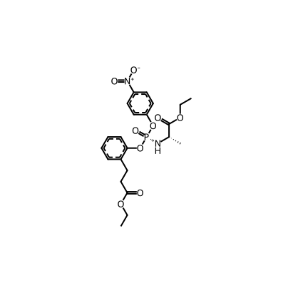 CCOC(=O)CCc1ccccc1O[P@](=O)(N[C@@H](C)C(=O)OCC)Oc1ccc([N+](=O)[O-])cc1